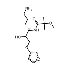 COC(C)(C)C(=O)N[C@@H](CCCN)C(O)COc1ccon1